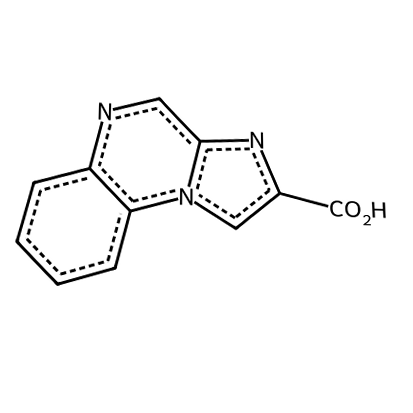 O=C(O)c1cn2c(cnc3ccccc32)n1